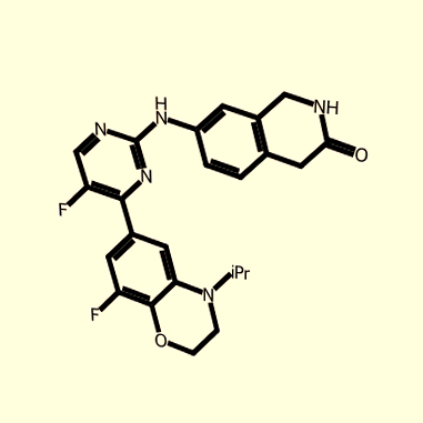 CC(C)N1CCOc2c(F)cc(-c3nc(Nc4ccc5c(c4)CNC(=O)C5)ncc3F)cc21